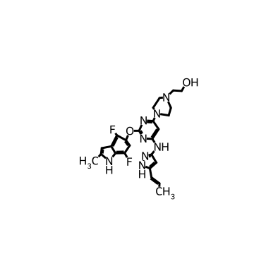 C/C=C/c1cc(Nc2cc(N3CCN(CCO)CC3)nc(Oc3cc(F)c4[nH]c(C)cc4c3F)n2)n[nH]1